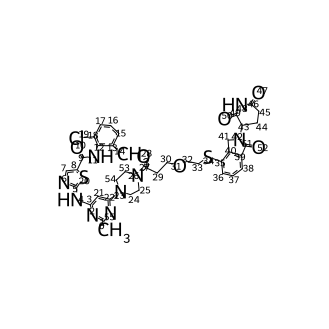 Cc1nc(Nc2ncc(C(=O)Nc3c(C)cccc3Cl)s2)cc(N2CCN(C(=O)CCOCCSc3cccc4c3CN(C3CCC(=O)NC3=O)C4=O)CC2)n1